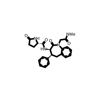 CNC(=O)CN1C(=O)[C@H](NC(=O)[C@@H]2CCC(=O)N2)[C@H](c2ccccc2)Cc2ccccc21